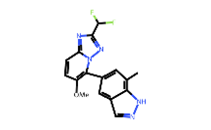 COc1ccc2nc(C(F)F)nn2c1-c1cc(C)c2[nH]ncc2c1